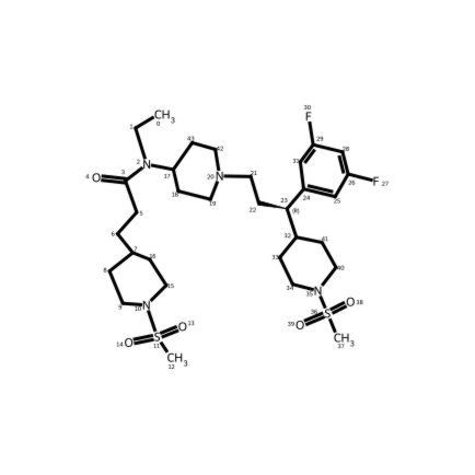 CCN(C(=O)CCC1CCN(S(C)(=O)=O)CC1)C1CCN(CC[C@@H](c2cc(F)cc(F)c2)C2CCN(S(C)(=O)=O)CC2)CC1